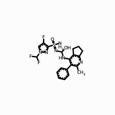 Cc1nc2c(c(NC(O)N=S(N)(=O)c3nn(C(F)F)cc3F)c1-c1ccccc1)CCC2